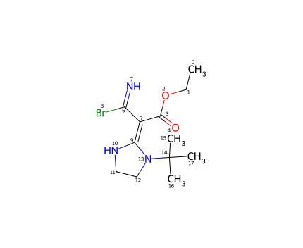 CCOC(=O)/C(C(=N)Br)=C1/NCCN1C(C)(C)C